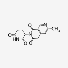 Cc1cc2c(cn1)C(=O)N(C1CCC(=O)NC1=O)C(=O)C2